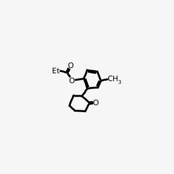 CCC(=O)Oc1ccc(C)cc1C1CCCCC1=O